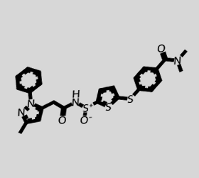 Cc1cc(CC(=O)N[S+]([O-])c2ccc(Sc3ccc(C(=O)N(C)C)cc3)s2)n(-c2ccccc2)n1